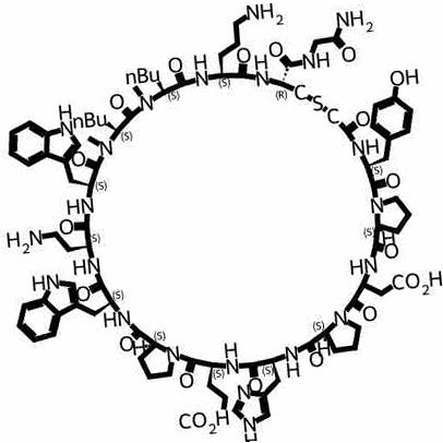 CCCC[C@H]1C(=O)N(C)[C@@H](CCCC)C(=O)N[C@@H](CCCN)C(=O)N[C@H](C(=O)NCC(N)=O)CSCC(=O)N[C@@H](Cc2ccc(O)cc2)C(=O)N2CCC[C@H]2C(=O)NC(CC(=O)O)C(=O)N2CCC[C@H]2C(=O)N[C@@H](Cc2c[nH]cn2)C(=O)N[C@@H](CCC(=O)O)C(=O)N2CCC[C@H]2C(=O)N[C@@H](Cc2c[nH]c3ccccc23)C(=O)N[C@@H](CCN)C(=O)N[C@@H](Cc2c[nH]c3ccccc23)C(=O)N1C